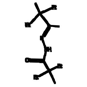 CCC(C)(CC)C(=O)N/N=C(\C)C(C)(CC)CC